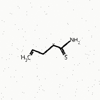 C=CC[C]C(N)=S